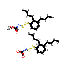 CCCCc1cccc(SSNC(=O)[O-])c1CCCC.CCCCc1cccc(SSNC(=O)[O-])c1CCCC.[Zn+2]